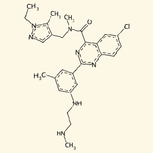 CCn1ncc(CN(C)C(=O)c2nc(-c3cc(C)cc(NCCNC)c3)nc3ccc(Cl)cc23)c1C